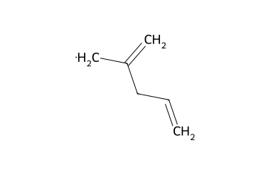 [CH2]C(=C)CC=C